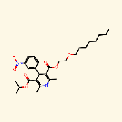 CCCCCCCCOCCOC(=O)C1=C(C)NC(C)=C(C(=O)OC(C)C)C1c1cccc([N+](=O)[O-])c1